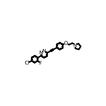 Fc1cc(Cl)ccc1-c1ccc(C#Cc2ccc(OCCN3CCCC3)cc2)nn1